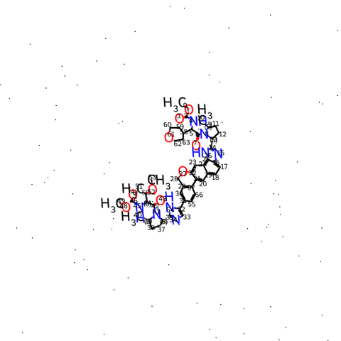 COC(=O)NC(C(=O)N1[C@@H](C)CC[C@H]1c1nc2ccc3cc4c(cc3c2[nH]1)OCc1cc(-c2cnc([C@@H]3CC[C@H](C)N3C(=O)[C@@H](NC(=O)OC)C(C)OC)[nH]2)ccc1-4)C1CCOCC1